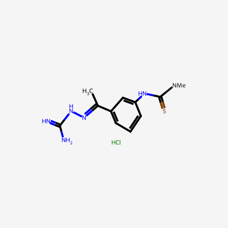 CNC(=S)Nc1cccc(C(C)=NNC(=N)N)c1.Cl